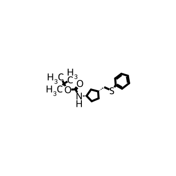 CC(C)(C)OC(=O)N[C@H]1CC[C@@H](CSc2ccccc2)C1